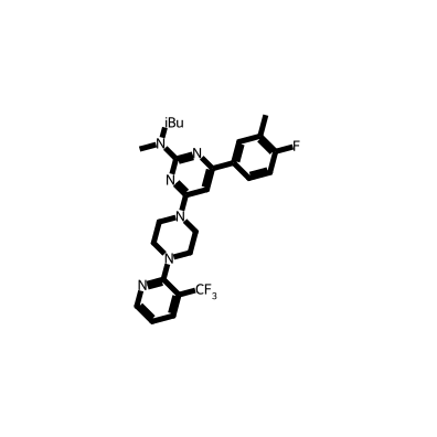 CCC(C)N(C)c1nc(-c2ccc(F)c(C)c2)cc(N2CCN(c3ncccc3C(F)(F)F)CC2)n1